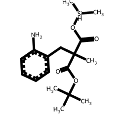 C[SiH](C)OC(=O)C(C)(Cc1ccccc1N)C(=O)OC(C)(C)C